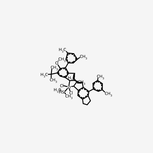 COc1c(C(C)(C)C)cc2c(c1-c1cc(C)cc(C)c1)C=C(C)[CH]2[Zr]([Cl])([Cl])([CH]1C(C)=Cc2c1cc1c(c2-c2cc(C)cc(C)c2)CCC1)[SiH](C)C